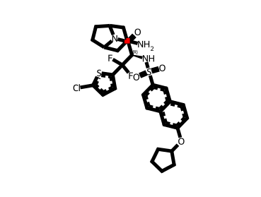 NC1CC2CCC(C1)N2C(=O)[C@@H](NS(=O)(=O)c1ccc2cc(OC3CCCC3)ccc2c1)C(F)(F)c1ccc(Cl)s1